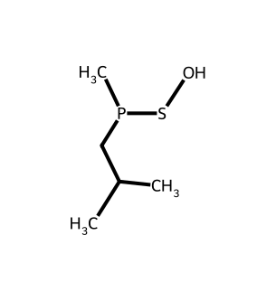 CC(C)CP(C)SO